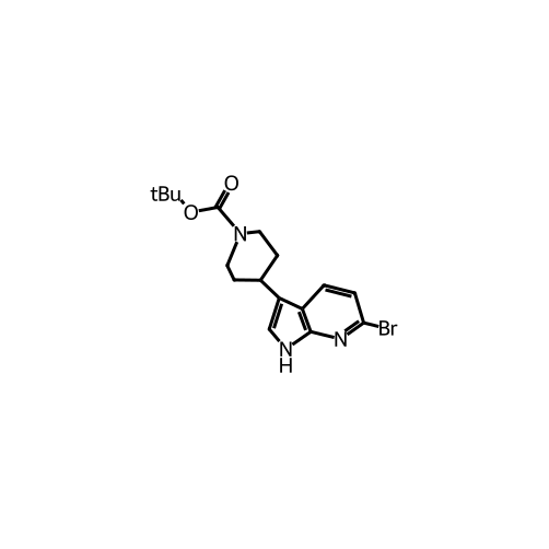 CC(C)(C)OC(=O)N1CCC(c2c[nH]c3nc(Br)ccc23)CC1